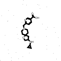 O=C(O)c1ccc(CN2CCC3(CC2)CC(NC2CC2)CO3)nc1